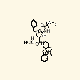 CN1N=C2CCN(C(=O)[C@@H](COCc3ccccc3)NC(=O)NC(=O)C(C)(C)N)C[C@@]2(Cc2ccccn2)C1=O.Cl.Cl